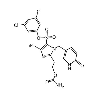 CC(C)c1nc(CCOC(N)=O)n(Cc2ccc(=O)[nH]c2)c1S(=O)(=O)Oc1cc(Cl)cc(Cl)c1